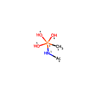 CC(=O)NP(C)(O)(O)O